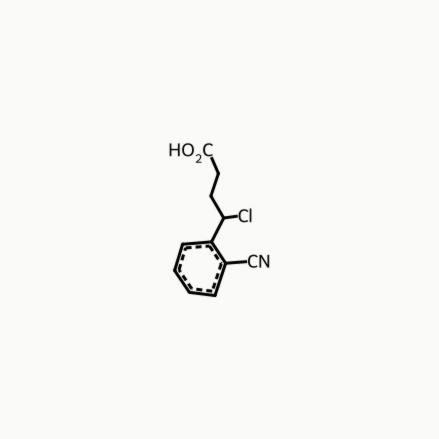 N#Cc1ccccc1C(Cl)CCC(=O)O